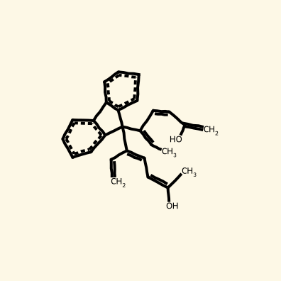 C=C/C(=C\C=C(/C)O)C1(C(/C=C\C(=C)O)=C/C)c2ccccc2-c2ccccc21